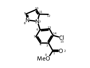 COC(=O)c1ccc(-n2nccc2C)cc1Cl